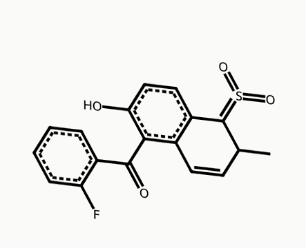 CC1C=Cc2c(ccc(O)c2C(=O)c2ccccc2F)C1=S(=O)=O